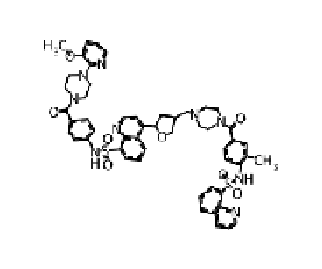 COc1cccnc1N1CCN(C(=O)c2ccc(NS(=O)(=O)c3cccc4c(C5CC(CN6CCN(C(=O)c7ccc(NS(=O)(=O)c8cccc9cccnc89)c(C)c7)CC6)CO5)ccnc34)cc2)CC1